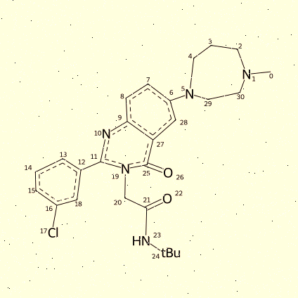 CN1CCCN(c2ccc3nc(-c4cccc(Cl)c4)n(CC(=O)NC(C)(C)C)c(=O)c3c2)CC1